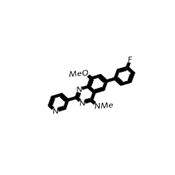 CNc1nc(-c2cccnc2)nc2c(OC)cc(-c3cccc(F)c3)cc12